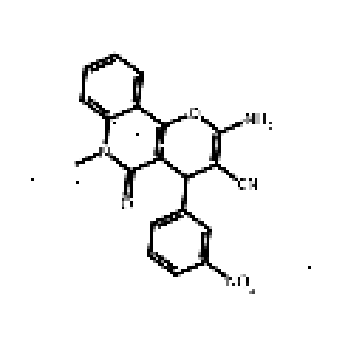 Cn1c(=O)c2c(c3ccccc31)OC(N)=C(C#N)C2c1cccc([N+](=O)[O-])c1